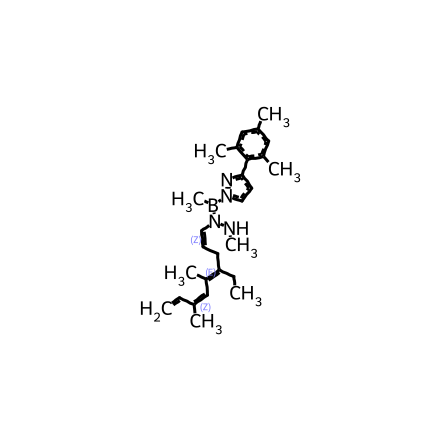 C=C/C(C)=C\C(C)=C(/CC)C/C=C\N(NC)B(C)n1ccc(-c2c(C)cc(C)cc2C)n1